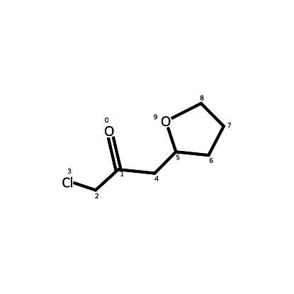 O=C(CCl)CC1CCCO1